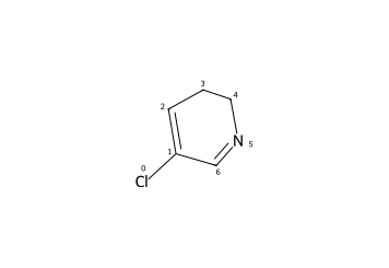 ClC1=CCCN=C1